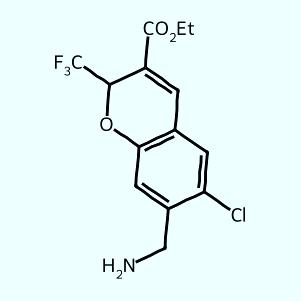 CCOC(=O)C1=Cc2cc(Cl)c(CN)cc2OC1C(F)(F)F